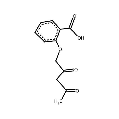 CC(=O)CC(=O)COc1ccccc1C(=O)O